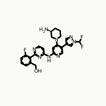 N[C@H]1CCCN(c2cc(Nc3ccnc(-c4c(F)cccc4CO)n3)ncc2-c2cnn(C(F)F)c2)C1